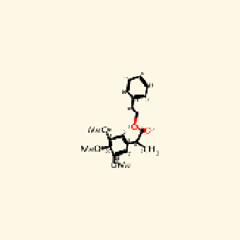 COc1cc(C(C)C(=O)OCCc2ccccc2)cc(OC)c1OC